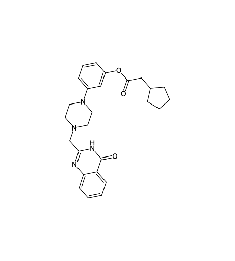 O=C(CC1CCCC1)Oc1cccc(N2CCN(Cc3nc4ccccc4c(=O)[nH]3)CC2)c1